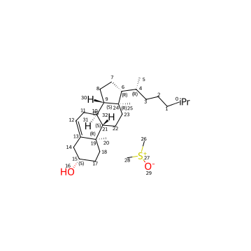 CC(C)CCC[C@@H](C)[C@H]1CC[C@H]2[C@@H]3CC=C4C[C@@H](O)CC[C@]4(C)[C@H]3CC[C@]12C.C[S+](C)[O-]